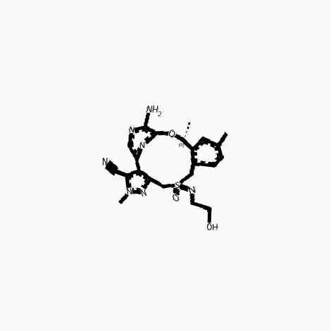 Cc1ccc2c(c1)[C@@H](C)Oc1nc(cnc1N)-c1c(nn(C)c1C#N)CS(=O)(=NCCO)C2